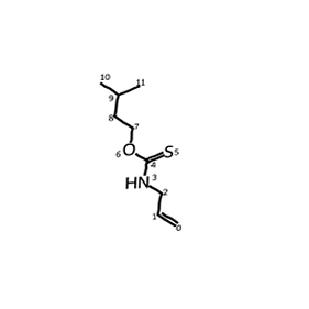 C=CCNC(=S)OCCC(C)C